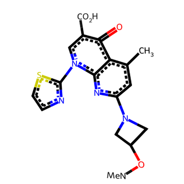 CNOC1CN(c2cc(C)c3c(=O)c(C(=O)O)cn(-c4nccs4)c3n2)C1